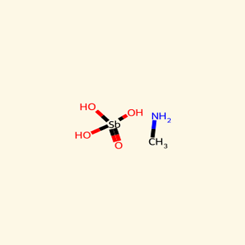 CN.[O]=[Sb]([OH])([OH])[OH]